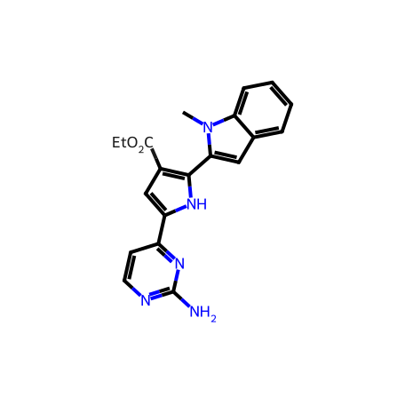 CCOC(=O)c1cc(-c2ccnc(N)n2)[nH]c1-c1cc2ccccc2n1C